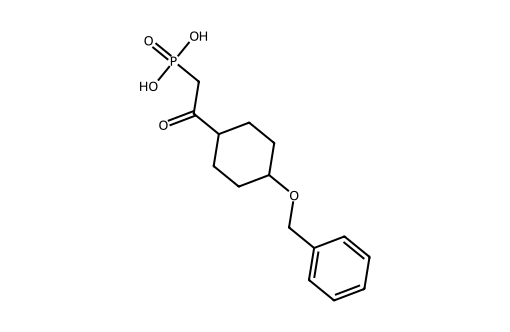 O=C(CP(=O)(O)O)C1CCC(OCc2ccccc2)CC1